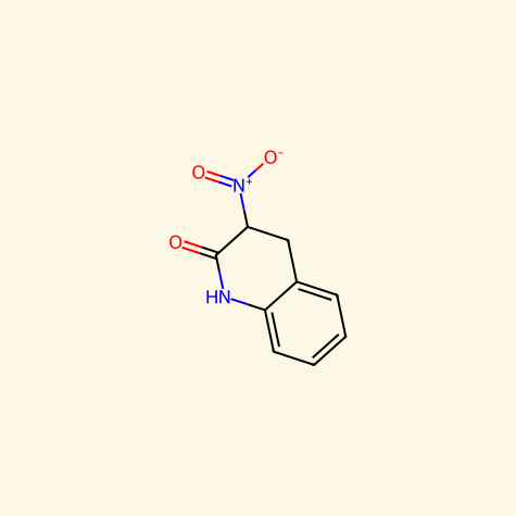 O=C1Nc2ccccc2CC1[N+](=O)[O-]